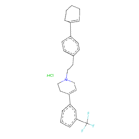 Cl.FC(F)(F)c1cccc(C2=CCN(CCc3ccc(C4=CCCCC4)cc3)CC2)c1